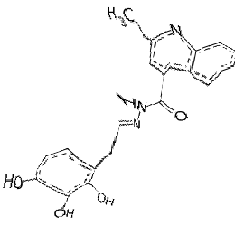 Cc1cc(C(=O)NN=CCc2ccc(O)c(O)c2O)c2ccccc2n1